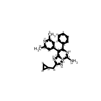 Cc1cc(-c2c(-c3ccccc3)nc(N)n3nc(CC4CC4)nc23)cc(C)n1